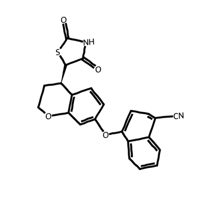 N#Cc1ccc(Oc2ccc3c(c2)OCC[C@H]3C2SC(=O)NC2=O)c2ccccc12